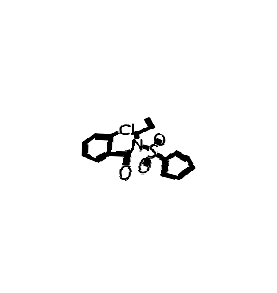 C=CCN(C(=O)c1ccccc1Cl)S(=O)(=O)c1ccccc1